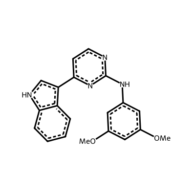 COc1cc(Nc2nccc(-c3c[nH]c4ccccc34)n2)cc(OC)c1